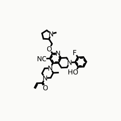 C=CC(=O)N1CCN(c2c(C#N)c(OCC3CCCN3C)nc3c2CCN(c2c(O)cccc2F)C3)C(C)C1